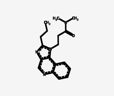 CCCc1nc2cnc3ccccc3c2n1CCC(=O)N(C)C